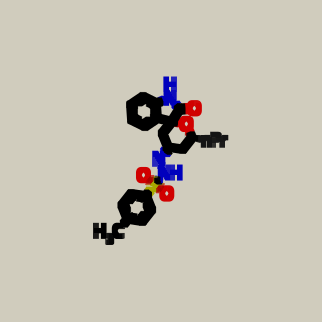 CCC[C@H]1CC(=NNS(=O)(=O)c2ccc(C)cc2)CC2(O1)C(=O)Nc1ccccc12